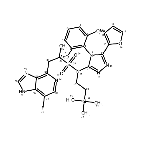 COc1cccc(OC)c1-n1c(-c2ccco2)nnc1N(CC[Si](C)(C)C)S(=O)(=O)C(C)Cc1ncc(F)c2[nH]cnc12